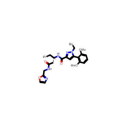 CCC(C)Cn1nc(C(=O)N[C@H](CC(=O)NCc2ncco2)CC(C)C)cc1-c1c(OC)cccc1OC